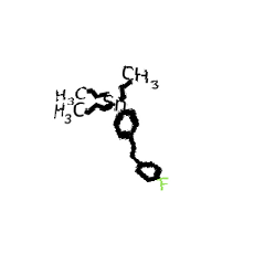 CCC[CH2][Sn]([CH2]CCC)([CH2]CCC)[c]1ccc(CCc2ccc(F)cc2)cc1